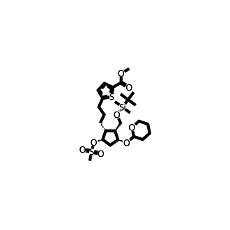 COC(=O)c1ccc(CCC[C@@H]2[C@@H](CO[Si](C)(C)C(C)(C)C)[C@H](OC3CCCCO3)C[C@@H]2OS(C)(=O)=O)s1